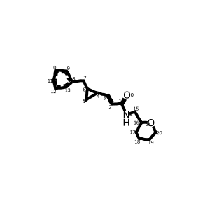 O=C(/C=C/C1CC1Cc1ccccc1)NCC1CCCCO1